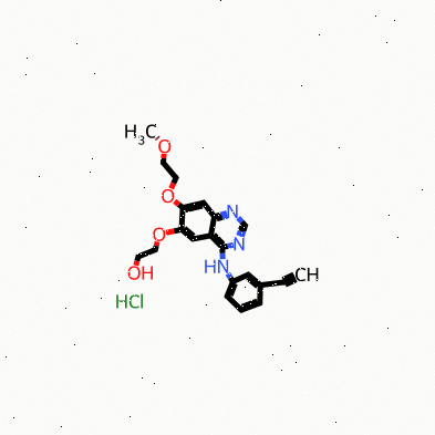 C#Cc1cccc(Nc2ncnc3cc(OCCOC)c(OCCO)cc23)c1.Cl